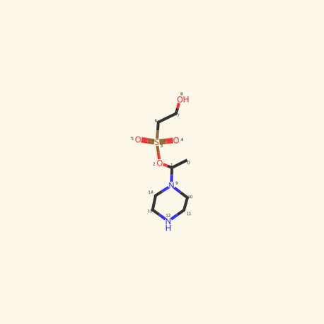 CC(OS(=O)(=O)CCO)N1CCNCC1